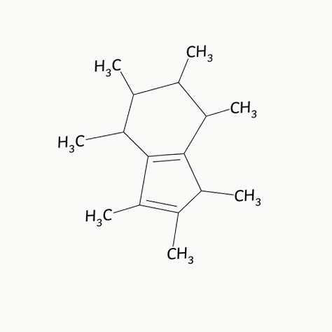 CC1=C(C)C(C)C2=C1C(C)C(C)C(C)C2C